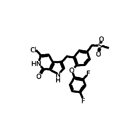 CS(=O)(=O)Cc1ccc(Oc2ccc(F)cc2F)c(Cc2c[nH]c3c(=O)[nH]c(Cl)cc23)c1